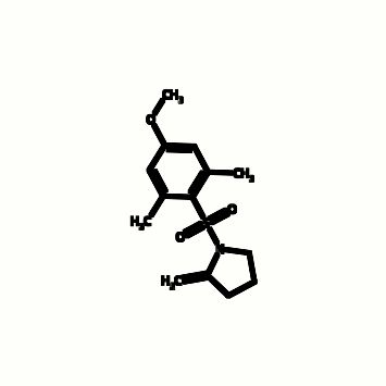 C=C1CCCN1S(=O)(=O)c1c(C)cc(OC)cc1C